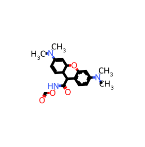 CN(C)C1=CC2Oc3cc(N(C)C)ccc3C(C(=O)NOC=O)C2C=C1